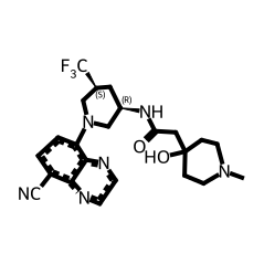 CN1CCC(O)(CC(=O)N[C@@H]2C[C@H](C(F)(F)F)CN(c3ccc(C#N)c4nccnc34)C2)CC1